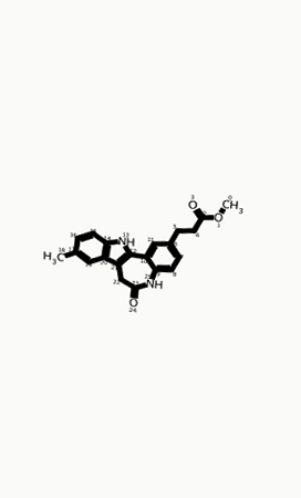 COC(=O)CCc1ccc2c(c1)-c1[nH]c3ccc(C)cc3c1CC(=O)N2